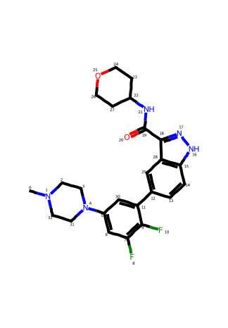 CN1CCN(c2cc(F)c(F)c(-c3ccc4[nH]nc(C(=O)NC5CCOCC5)c4c3)c2)CC1